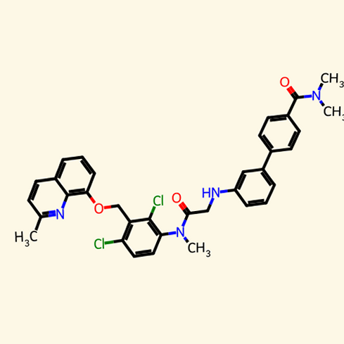 Cc1ccc2cccc(OCc3c(Cl)ccc(N(C)C(=O)CNc4cccc(-c5ccc(C(=O)N(C)C)cc5)c4)c3Cl)c2n1